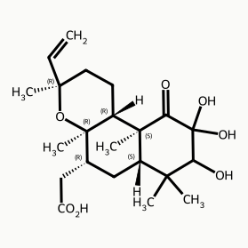 C=C[C@@]1(C)CC[C@H]2[C@](C)(O1)[C@@H](CC(=O)O)C[C@H]1C(C)(C)C(O)C(O)(O)C(=O)[C@@]12C